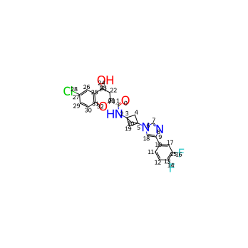 O=C(NC12CC(n3cnc(-c4ccc(F)c(F)c4)c3)(C1)C2)[C@H]1C[C@@H](O)c2cc(Cl)ccc2O1